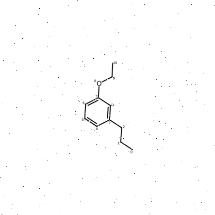 CCCc1c[c]cc(OCC)c1